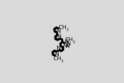 Cc1cccc(-c2cccc(CC(Cc3cccc(-c4cccc(C)n4)n3)c3nnnn3C)n2)n1